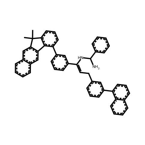 CC1(C)c2cc3ccccc3cc2-c2c(-c3cccc(/C(=C/Cc4cccc(-c5cccc6ccccc56)c4)NC(N)c4ccccc4)c3)cccc21